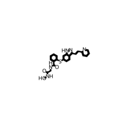 O=C(CNC(=O)c1ccccc1Sc1ccc2c(/C=C/c3ccccn3)n[nH]c2c1)NO